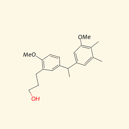 COc1ccc(C(C)c2cc(C)c(C)c(OC)c2)cc1CCCO